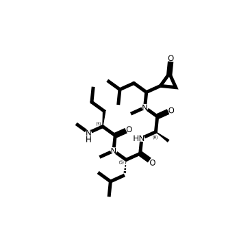 CCC[C@H](NC)C(=O)N(C)[C@@H](CC(C)C)C(=O)N[C@H](C)C(=O)N(C)C(CC(C)C)C1CC1=O